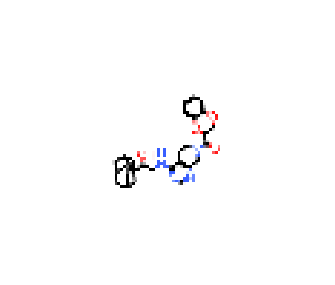 O=C(C1COc2ccccc2O1)N1CCc2c(ncnc2NCC(O)C23CC4CC(CC(C4)C2)C3)C1